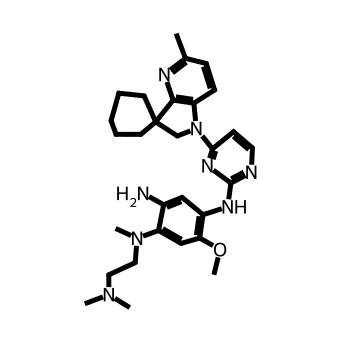 COc1cc(N(C)CCN(C)C)c(N)cc1Nc1nccc(N2CC3(CCCCC3)c3nc(C)ccc32)n1